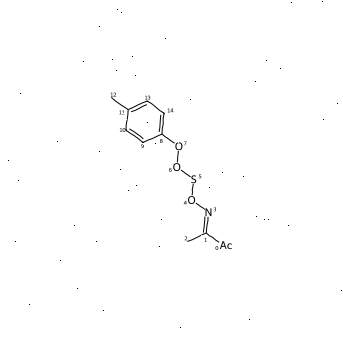 CC(=O)C(C)=NOSOOc1ccc(C)cc1